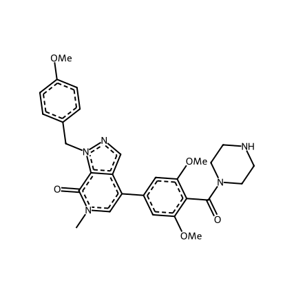 COc1ccc(Cn2ncc3c(-c4cc(OC)c(C(=O)N5CCNCC5)c(OC)c4)cn(C)c(=O)c32)cc1